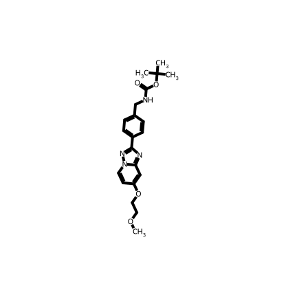 COCCOc1ccn2nc(-c3ccc(CNC(=O)OC(C)(C)C)cc3)nc2c1